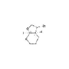 CCC1CO[C@@H]2OCCC[C@H]12